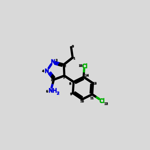 CCC1=NN=C(N)C1c1ccc(Cl)cc1Cl